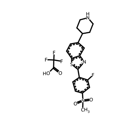 CS(=O)(=O)c1ccc(-c2nc3cc(C4CCNCC4)ccc3s2)c(F)c1.O=C(O)C(F)(F)F